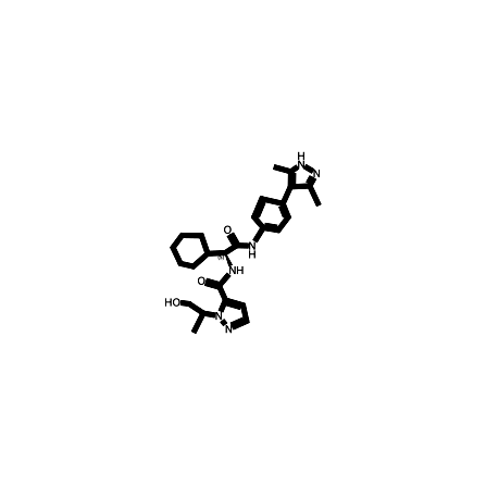 Cc1n[nH]c(C)c1-c1ccc(NC(=O)[C@@H](NC(=O)c2ccnn2C(C)CO)C2CCCCC2)cc1